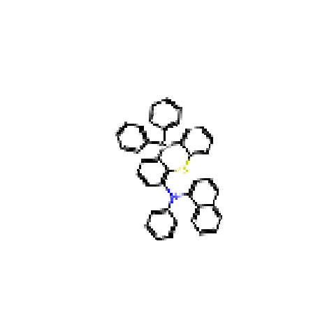 c1ccc(N(c2cccc3c2Sc2ccccc2[Si]3(c2ccccc2)c2ccccc2)c2cccc3ccccc23)cc1